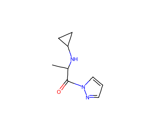 CC(NC1CC1)C(=O)n1cccn1